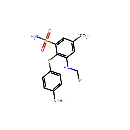 CC(=O)Nc1ccc(Sc2c(NCC(C)C)cc(C(=O)O)cc2S(N)(=O)=O)cc1